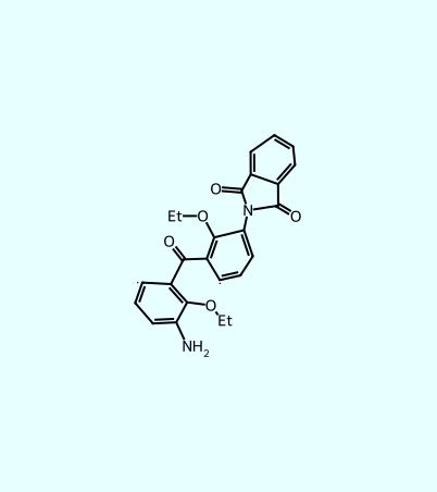 CCOc1c(C(=O)c2[c]ccc(N3C(=O)c4ccccc4C3=O)c2OCC)[c]ccc1N